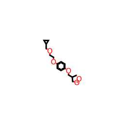 c1cc(OCC2COOC2)ccc1OCCOCC1CC1